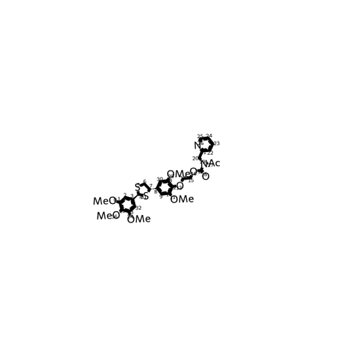 COc1cc([C@H]2SC[C@H](c3cc(OC)c(OCCOC(=O)N(Cc4ccccn4)C(C)=O)c(OC)c3)S2)cc(OC)c1OC